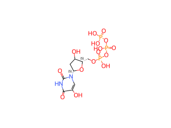 O=c1[nH]c(=O)n([C@@H]2CC(O)[C@H](COP(=O)(O)OP(=O)(O)OP(=O)(O)O)O2)cc1O